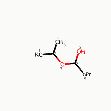 CCCC(O)OC(C)C#N